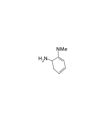 CNC1=CC=CCC1N